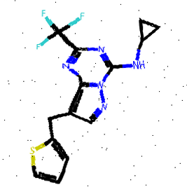 FC(F)(F)c1nc(NC2CC2)n2ncc(Cc3cccs3)c2n1